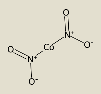 O=[N+]([O-])[Co][N+](=O)[O-]